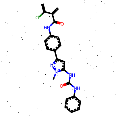 C=C(Cl)C(=C)C(=O)Nc1ccc(-c2cc(NC(=O)Nc3ccccc3)n(C)n2)cc1